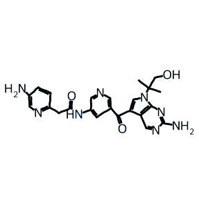 CC(C)(CO)n1cc(C(=O)c2cncc(NC(=O)Cc3ccc(N)cn3)c2)c2cnc(N)nc21